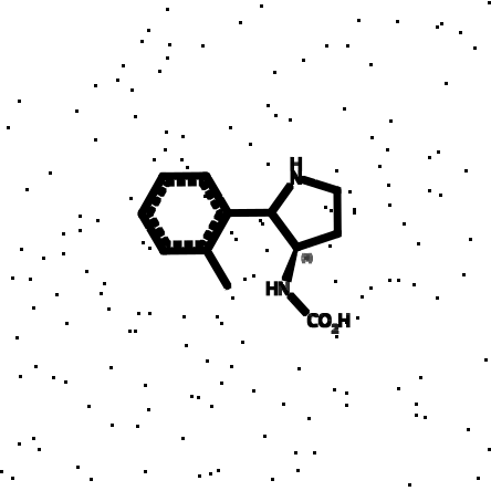 Cc1ccccc1C1NCC[C@H]1NC(=O)O